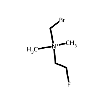 C[N+](C)(CBr)CCF